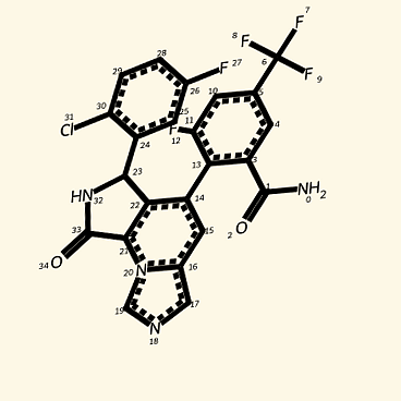 NC(=O)c1cc(C(F)(F)F)cc(F)c1-c1cc2cncn2c2c1C(c1cc(F)ccc1Cl)NC2=O